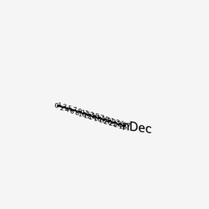 C=CCCCCCCCCCCCCCCCCCCCCCCCCCCCCCCCCCCC